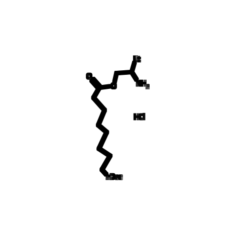 CCCCCCCCCCCCCCCCCC(=O)OCC(N)CC.Cl